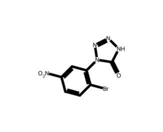 O=c1[nH]nnn1-c1cc([N+](=O)[O-])ccc1Br